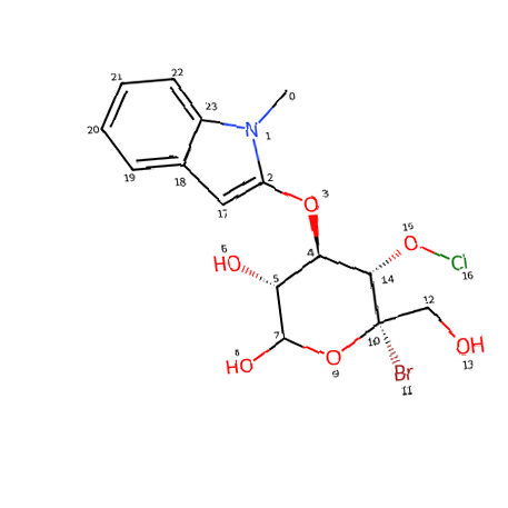 Cn1c(O[C@@H]2[C@@H](O)C(O)O[C@](Br)(CO)[C@H]2OCl)cc2ccccc21